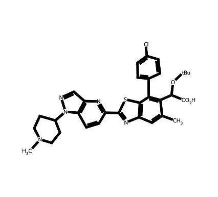 Cc1cc2nc(-c3ccc4c(cnn4C4CCN(C)CC4)n3)sc2c(-c2ccc(Cl)cc2)c1C(OC(C)(C)C)C(=O)O